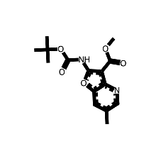 COC(=O)c1c(NC(=O)OC(C)(C)C)oc2cc(C)cnc12